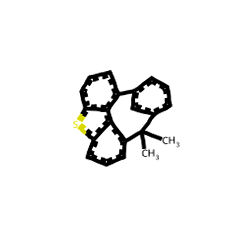 CC1(C)c2cccc(c2)-c2cccc3sc4cccc1c4c23